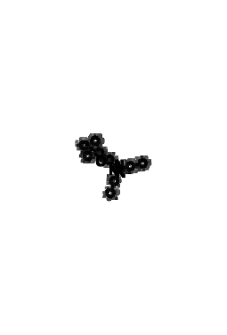 c1ccc(-c2ccc(-c3nc(-c4ccc(-c5ccccc5)cc4)nc(-c4ccc5c(c4)oc4cc6c(cc45)-c4ccccc4C6(c4ccccc4)c4ccccc4)n3)cc2)cc1